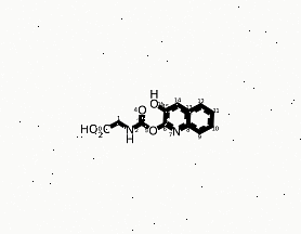 O=C(O)CNC(=O)Oc1nc2ccccc2cc1O